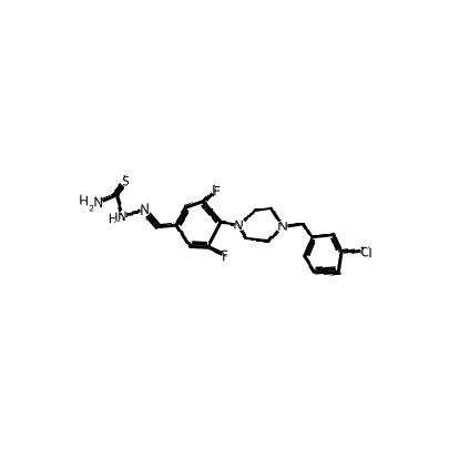 NC(=S)NN=Cc1cc(F)c(N2CCN(Cc3cccc(Cl)c3)CC2)c(F)c1